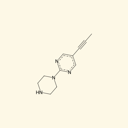 CC#Cc1cnc(N2CCNCC2)nc1